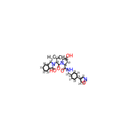 CC(C)[C@@H](C(=O)N1C[C@H](O)C[C@H]1C(=O)NCc1ccc(-c2cnoc2)cc1)N1Cc2ccccc2C1O